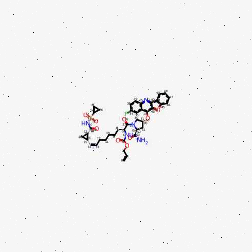 C=CCOC(=O)N[C@@H](CCCCC/C=C\[C@@H]1C[C@@H]1C(=O)NS(=O)(=O)C1CC1)C(=O)N1C[C@H](Oc2c3cc(F)ccc3nc3c2oc2ccccc23)C[C@H]1C(N)=O